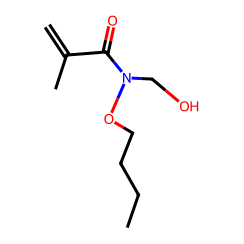 C=C(C)C(=O)N(CO)OCCCC